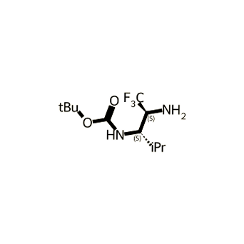 CC(C)[C@H](NC(=O)OC(C)(C)C)[C@H](N)C(F)(F)F